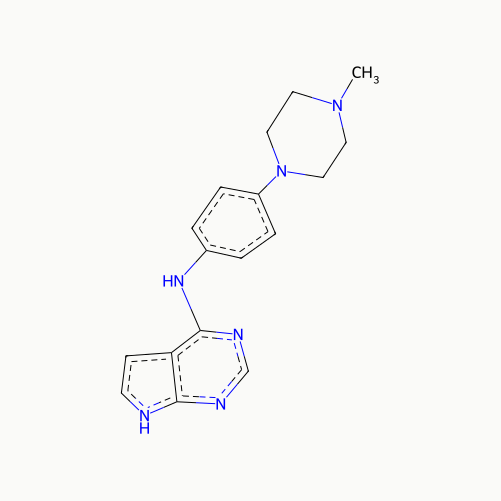 CN1CCN(c2ccc(Nc3ncnc4[nH]ccc34)cc2)CC1